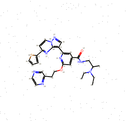 CCN(CC)C(C)CNC(=O)c1cc(OCCc2cnccn2)nc(-c2cnn3ccc(-c4cccs4)nc23)c1